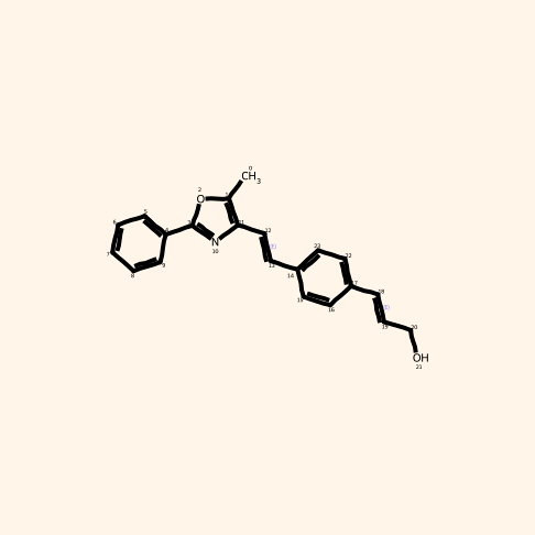 Cc1oc(-c2ccccc2)nc1/C=C/c1ccc(/C=C/CO)cc1